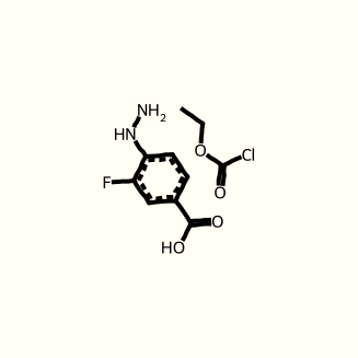 CCOC(=O)Cl.NNc1ccc(C(=O)O)cc1F